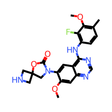 COc1cc2ncnc(Nc3ccc(C)c(OC)c3F)c2cc1N1CC2(CNC2)OC1=O